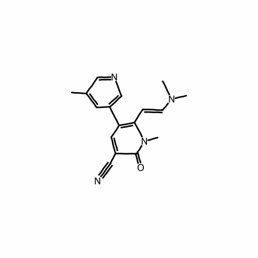 Cc1cncc(-c2cc(C#N)c(=O)n(C)c2C=CN(C)C)c1